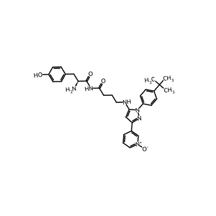 CC(C)(C)c1ccc(-n2nc(-c3ccc[n+]([O-])c3)cc2NCCCC(=O)NC(=O)[C@@H](N)Cc2ccc(O)cc2)cc1